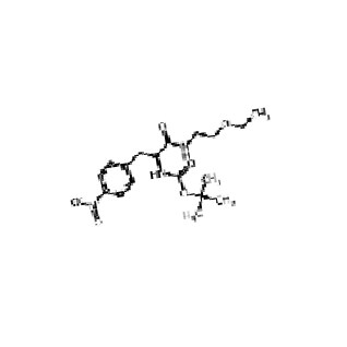 CCOCCNC(=O)C(Cc1ccc([N+](=O)[O-])cc1)NC(=O)OC(C)(C)C